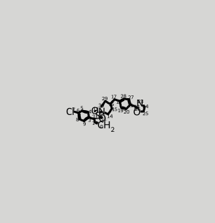 C=CC(c1ccc(Cl)cc1)S(=O)(=O)N1CCC(Cc2ccc(C3=NCCO3)cc2)CC1